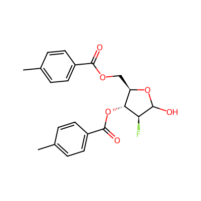 Cc1ccc(C(=O)OC[C@H]2OC(O)[C@@H](F)[C@@H]2OC(=O)c2ccc(C)cc2)cc1